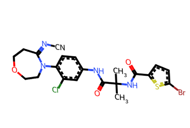 CC(C)(NC(=O)c1ccc(Br)s1)C(=O)Nc1ccc(N2CCOCC/C2=N/C#N)c(Cl)c1